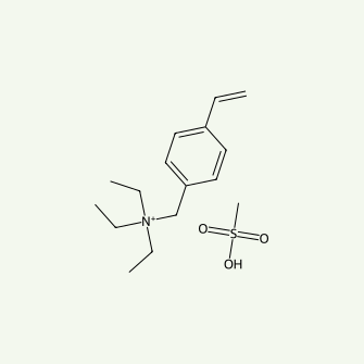 C=Cc1ccc(C[N+](CC)(CC)CC)cc1.CS(=O)(=O)O